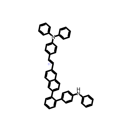 C(=C\c1ccc2cc(-c3ccccc3-c3ccc(Nc4ccccc4)cc3)ccc2c1)/c1ccc(N(c2ccccc2)c2ccccc2)cc1